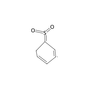 O=S(=O)=C1C=[C]C=CC1